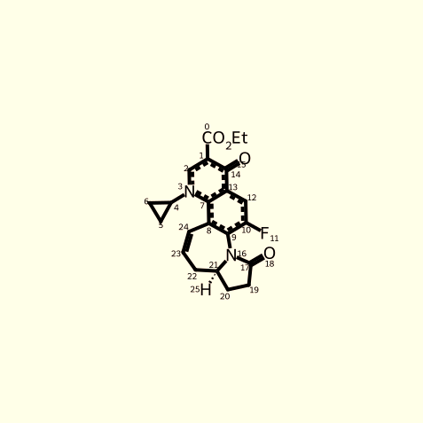 CCOC(=O)c1cn(C2CC2)c2c3c(c(F)cc2c1=O)N1C(=O)CC[C@H]1CC=C3